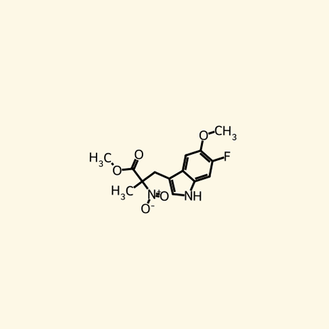 COC(=O)C(C)(Cc1c[nH]c2cc(F)c(OC)cc12)[N+](=O)[O-]